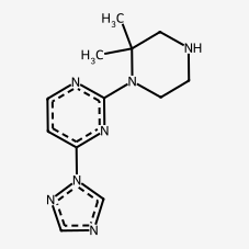 CC1(C)CNCCN1c1nccc(-n2cncn2)n1